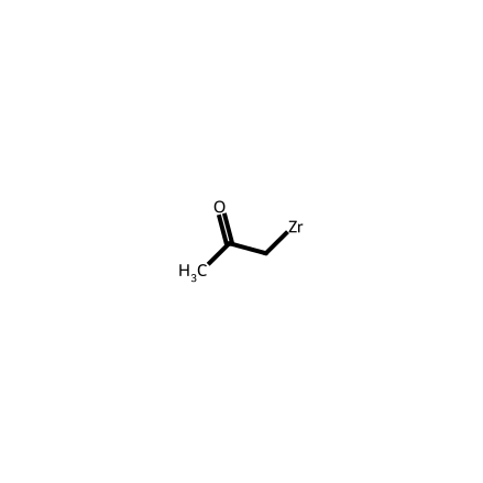 CC(=O)[CH2][Zr]